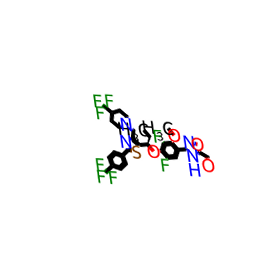 CC[C@@H](Oc1c(F)cc(C2=NOC(C=O)N2)c(OC)c1F)c1sc(-c2ccc(C(F)(F)F)cc2)nc1CN1CCC(C(F)(F)F)CC1